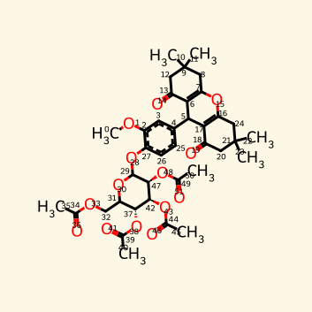 COc1cc(C2C3=C(CC(C)(C)CC3=O)OC3=C2C(=O)CC(C)(C)C3)ccc1OC1OC(COC(C)=O)[C@@H](OC(C)=O)[C@H](OC(C)=O)[C@@H]1OC(C)=O